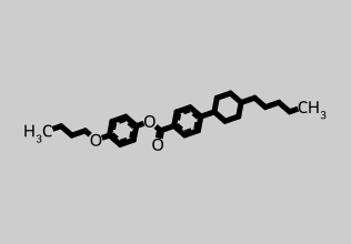 CCCCCC1CCC(c2ccc(C(=O)Oc3ccc(OCCCC)cc3)cc2)CC1